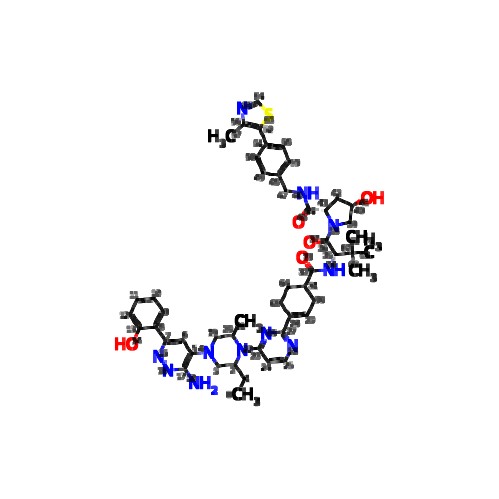 CCC1CN(c2cc(-c3ccccc3O)nnc2N)CC(C)N1c1ccnc(C2=CCC(C(=O)N[C@H](C(=O)N3C[C@H](O)C[C@H]3C(=O)NCc3ccc(-c4scnc4C)cc3)C(C)(C)C)CC2)n1